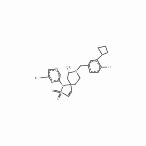 Cc1cncc(N2[C@]3(C=CS2(=O)=O)CCN(Cc2ccc(O)c(C4CCC4)c2)[C@@H](C)C3)n1